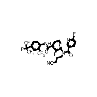 N#CCCCN(C(=O)c1ccc(F)nc1)c1cccc(C(=O)Nc2ccc(C(F)(C(F)(F)F)C(F)(F)F)cc2C(F)(F)F)c1F